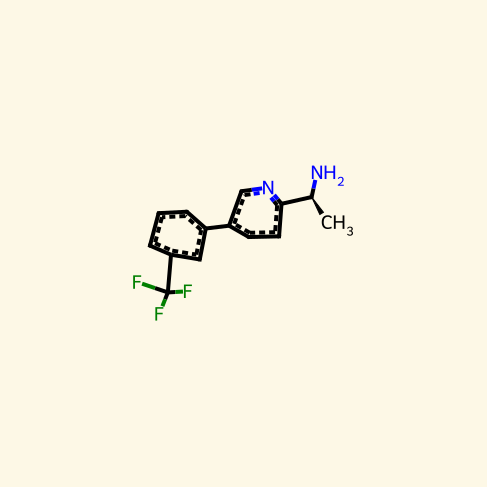 C[C@H](N)c1ccc(-c2cccc(C(F)(F)F)c2)cn1